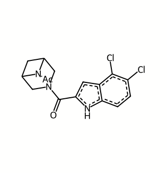 CC(=O)N1C2CC1CN(C(=O)c1cc3c(Cl)c(Cl)ccc3[nH]1)C2